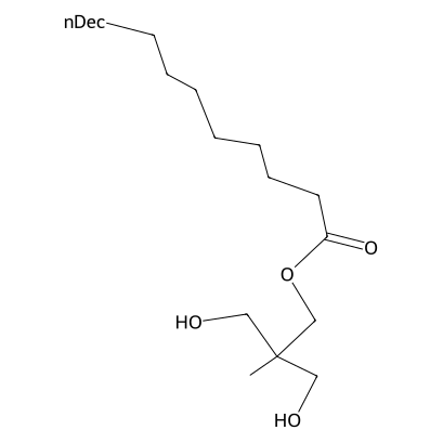 CCCCCCCCCCCCCCCCCC(=O)OCC(C)(CO)CO